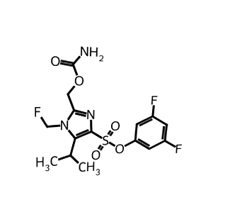 CC(C)c1c(S(=O)(=O)Oc2cc(F)cc(F)c2)nc(COC(N)=O)n1CF